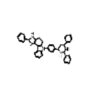 c1ccc(C2CC(c3ccc(-n4c5c(c6ccccc64)C4=C(CC5)NC(c5ccccc5)O4)cc3)NC(c3ccccc3)N2)cc1